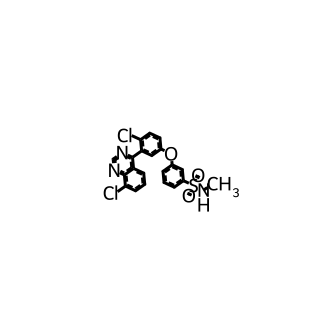 CNS(=O)(=O)c1cccc(Oc2ccc(Cl)c(-c3ncnc4c(Cl)cccc34)c2)c1